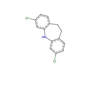 Clc1ccc2c(c1)Nc1cc(Cl)ccc1CC2